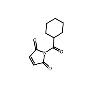 O=C1C=CC(=O)N1C(=O)C1CCCCC1